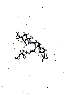 COCC(=O)NCCCn1c(-c2ccc(OC(F)(F)F)cc2)cs/c1=N\C(=O)c1ccc(OC)cc1OC